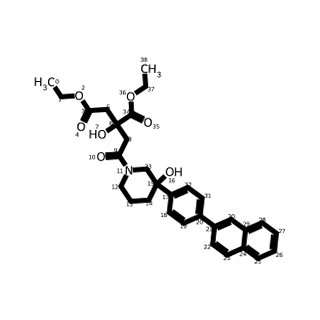 CCOC(=O)CC(O)(CC(=O)N1CCCC(O)(c2ccc(-c3ccc4ccccc4c3)cc2)C1)C(=O)OCC